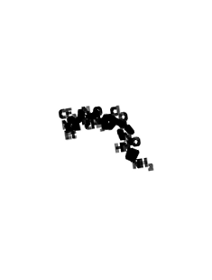 CCn1cc(-c2cnc(C(=O)Nc3ccc(C(=O)N4CCN(C(=O)NC5CC(N)C5)CC4)c(Cl)c3)n2C)c(C(F)(F)F)n1